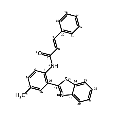 Cc1ccc(NC(=O)/C=C/c2ccccc2)c(-c2nc3ccccc3s2)c1